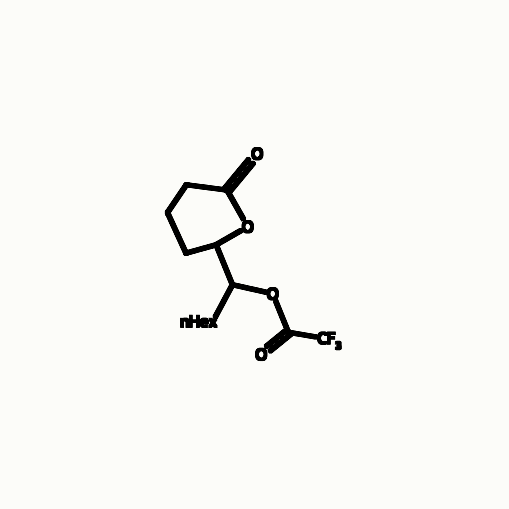 CCCCCCC(OC(=O)C(F)(F)F)C1CCCC(=O)O1